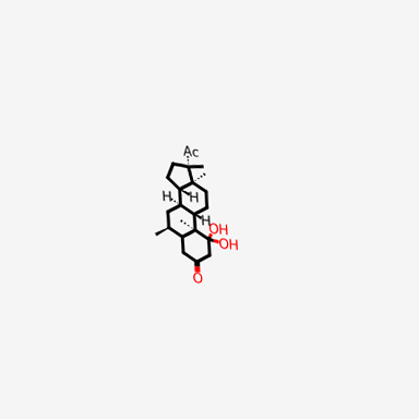 CC(=O)[C@@]1(C)CC[C@H]2[C@@H]3C[C@H](C)C4CC(=O)CC(O)(O)[C@]4(C)[C@H]3CC[C@@]21C